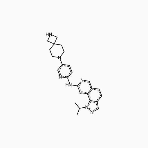 CC(C)n1ncc2ccc3cnc(Nc4ccc(N5CCC6(CC5)CNC6)cn4)nc3c21